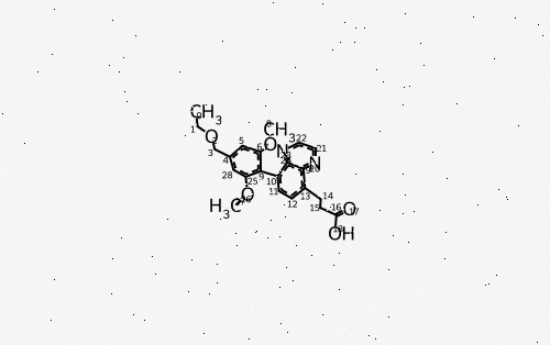 CCOCc1cc(OC)c(-c2ccc(CCC(=O)O)c3nccnc23)c(OC)c1